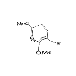 COc1ccc(Br)c(OC)n1